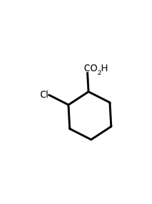 O=C(O)C1CCCCC1Cl